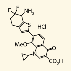 COc1c(-c2cc3c(s2)C(N)C(F)(F)CC3)ccc2c(=O)c(C(=O)O)cn(C3CC3)c12.Cl